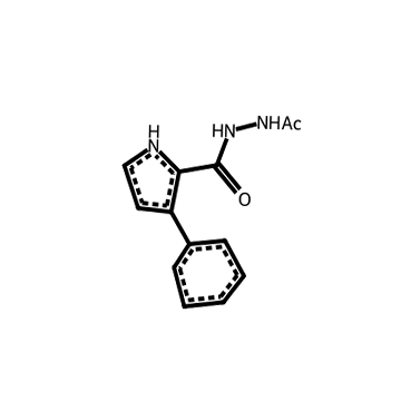 CC(=O)NNC(=O)c1[nH]ccc1-c1ccccc1